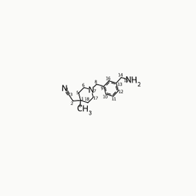 CC1(CC#N)CCN(Cc2cccc(CN)c2)CC1